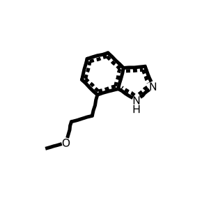 COCCc1cccc2cn[nH]c12